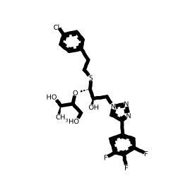 C[C@@H](O)C(CO)O[C@H](SCCc1ccc(Cl)cc1)[C@H](O)Cn1cc(-c2cc(F)c(F)c(F)c2)nn1